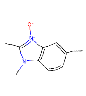 Cc1ccc2c(c1)[n+]([O-])c(C)n2C